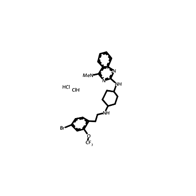 CNc1nc(NC2CCC(NCCc3ccc(Br)cc3OC(F)(F)F)CC2)nc2ccccc12.Cl.Cl